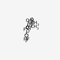 COc1nc(OCC2CCC(C(F)(F)F)CC2)c(F)cc1CNC(=O)[C@@H]1CCCN1C